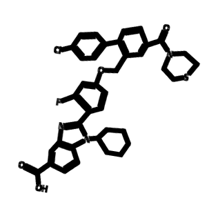 O=C(O)c1ccc2c(c1)nc(-c1ccc(OCc3cc(C(=O)N4CCSCC4)ccc3-c3ccc(Cl)cc3)cc1F)n2C1CCCCC1